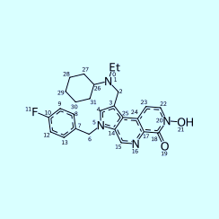 CCN(Cc1cn(Cc2ccc(F)cc2)c2cnc3c(=O)n(O)ccc3c12)C1CCCCC1